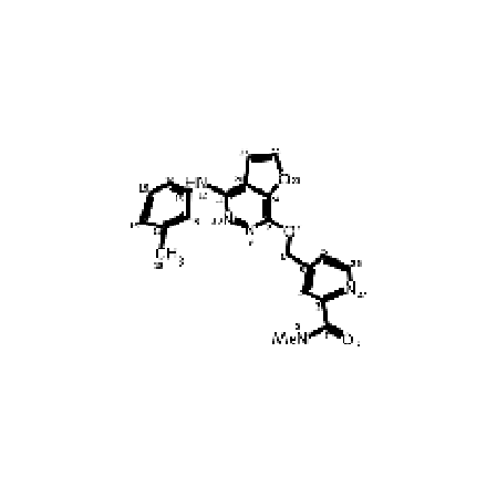 CNC(=O)c1cc(COc2nnc(Nc3cccc(C)c3)c3ccoc23)ccn1